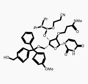 CNC(=O)CCOC1[C@@H](OP(OCCC#N)N(C(C)C)C(C)C)[C@@H](COC(c2ccccc2)(c2ccc(CO)cc2)c2ccc(OC)cc2)O[C@H]1n1ccc(=O)[nH]c1=O